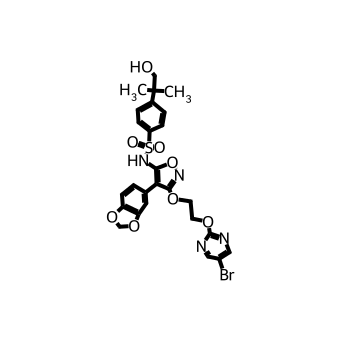 CC(C)(CO)c1ccc(S(=O)(=O)Nc2onc(OCCOc3ncc(Br)cn3)c2-c2ccc3c(c2)OCO3)cc1